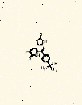 CC(C)(C)c1ccc(C(=C[C@@H]2CCC(=O)N2)c2ccc(Cl)c(=O)[nH]2)cc1